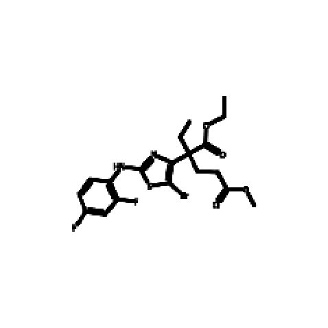 CCOC(=O)C(CC)(CCC(=O)OC)c1nc(Nc2ccc(F)cc2F)sc1Br